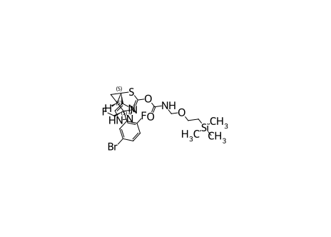 C[Si](C)(C)CCOCNC(=O)OC1=N[C@](CF)(c2cc(Br)ccc2F)[C@@H]2C[C@]2(c2c[nH]nn2)S1